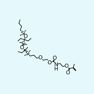 C=C(C)C(=O)OCCNC(=O)OCCOCCC[Si](C)(C)[C@](C)(CC)O[Si](C)(C)C(CC)(CC)O[Si](C)(C)CCCC